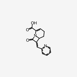 O=C(O)C1=CCCC2/C(=C\c3ccccn3)C(=O)N12